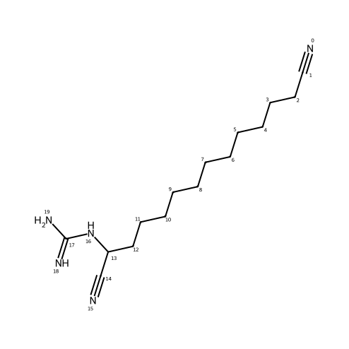 N#CCCCCCCCCCCCC(C#N)NC(=N)N